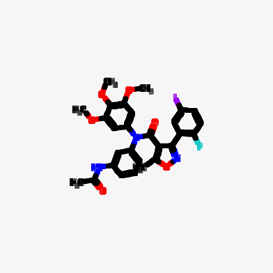 COc1cc(N(C(=O)c2c(-c3cc(I)ccc3F)noc2C)c2cccc(NC(C)=O)c2)cc(OC)c1OC